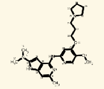 COc1cnc(Nc2nc(C)cc3[nH]c(N(C)C)cc23)cc1OCCCN1CCCC1